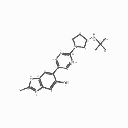 Cc1nc2cc(O)c(-c3cnc(N4CC[C@H](NC(C)(C)C)C4)nn3)cc2o1